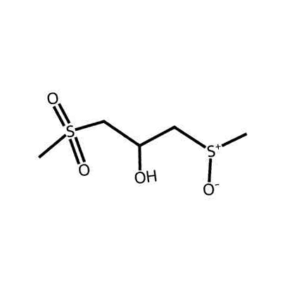 C[S+]([O-])CC(O)CS(C)(=O)=O